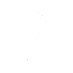 COCCO[C@H]1C[C@@H](Nc2ncc3c(-c4ccc5ncccc5c4)ccn3n2)C1